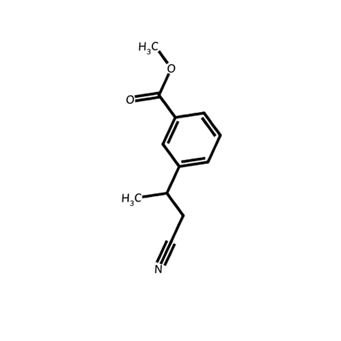 COC(=O)c1cccc(C(C)CC#N)c1